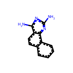 Nc1nc(N)c2ccc3ccccc3c2n1